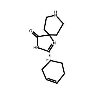 O=C1NC([C@H]2CC=CCC2)=NC12CCNCC2